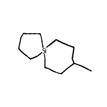 CC1CC[Si]2(CCCC2)CC1